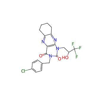 O=c1c2nc3c(nc2n(CC(O)C(F)(F)F)c(=O)n1Cc1ccc(Cl)cc1)CCCC3